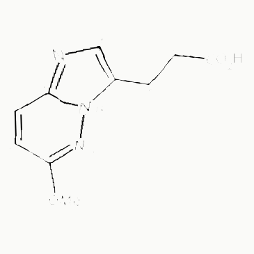 COc1ccc2ncc(CCC(=O)O)n2n1